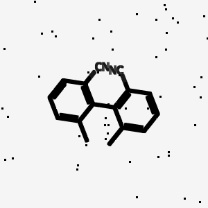 Cc1cccc(C#N)c1-c1c(C)cccc1C#N